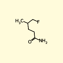 CC(CF)CCC(N)=O